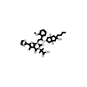 CCCCC1(O)C[C@H]2C[C@@H](OC(Cn3c(=O)n(C(C)(C)C(=O)O)c(=O)c4c(C)c(-c5ncco5)sc43)c3ccccc3OC)C[C@H]2C1